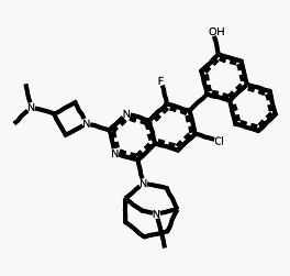 CN(C)C1CN(c2nc(N3CC4CCCC3CN4C)c3cc(Cl)c(-c4cc(O)cc5ccccc45)c(F)c3n2)C1